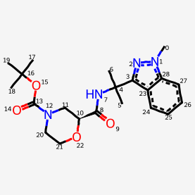 Cn1nc(C(C)(C)NC(=O)[C@@H]2CN(C(=O)OC(C)(C)C)CCO2)c2ccccc21